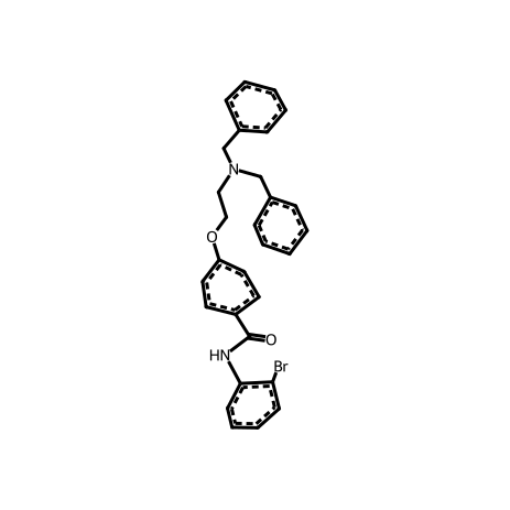 O=C(Nc1ccccc1Br)c1ccc(OCCN(Cc2ccccc2)Cc2ccccc2)cc1